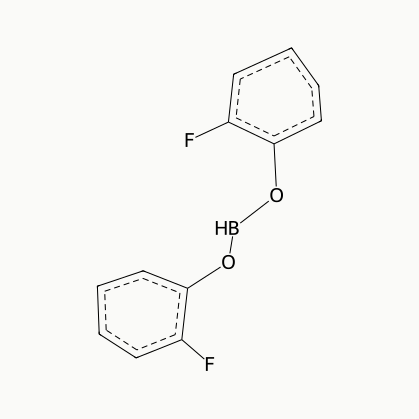 Fc1ccccc1OBOc1ccccc1F